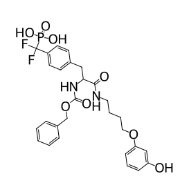 O=C(NC(Cc1ccc(C(F)(F)P(=O)(O)O)cc1)C(=O)NCCCCOc1cccc(O)c1)OCc1ccccc1